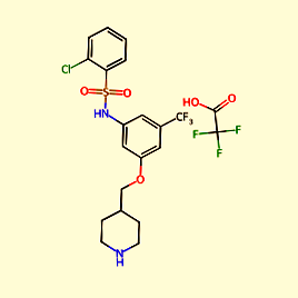 O=C(O)C(F)(F)F.O=S(=O)(Nc1cc(OCC2CCNCC2)cc(C(F)(F)F)c1)c1ccccc1Cl